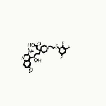 COc1ccc2ncc(N(C)C)c([C@H](O)CCC3(CC(=O)O)CCN(CCSc4cc(F)cc(F)c4F)CC3)c2c1